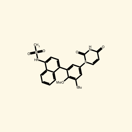 COc1c(-c2ccc(NS(C)(=O)=O)c3ccccc23)cc(-n2ccc(=O)[nH]c2=O)cc1C(C)(C)C